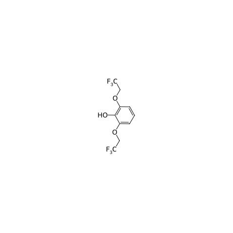 Oc1c(OCC(F)(F)F)cccc1OCC(F)(F)F